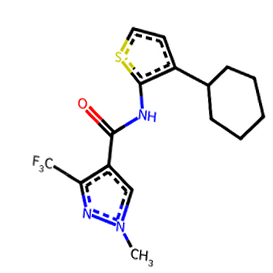 Cn1cc(C(=O)Nc2sccc2C2CCCCC2)c(C(F)(F)F)n1